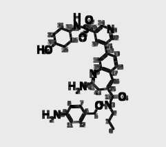 CCCN(OCc1ccc(N)cc1)C(=O)C1=Cc2ccc(-c3cncc(S(=O)(=O)NC4CCC(O)CC4)c3)cc2N=C(N)C1